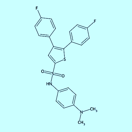 CN(C)c1ccc(NS(=O)(=O)c2cc(-c3ccc(F)cc3)c(-c3ccc(F)cc3)s2)cc1